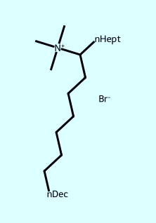 CCCCCCCCCCCCCCCCC(CCCCCCC)[N+](C)(C)C.[Br-]